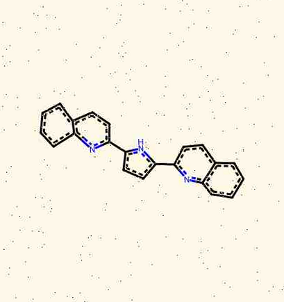 c1ccc2nc(-c3ccc(-c4ccc5ccccc5n4)[nH]3)ccc2c1